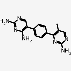 Cc1cnc(N)nc1-c1ccc(-c2cnc(N)nc2N)cc1